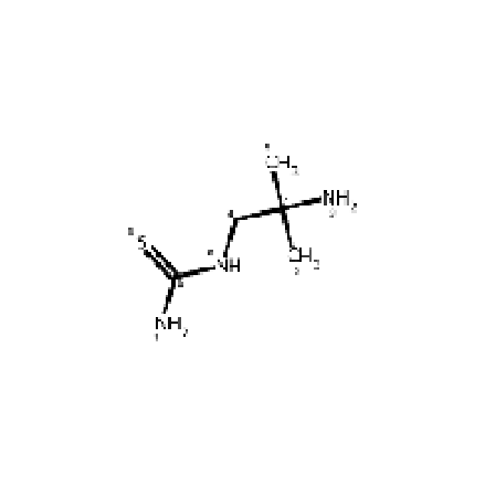 CC(C)(N)CNC(N)=S